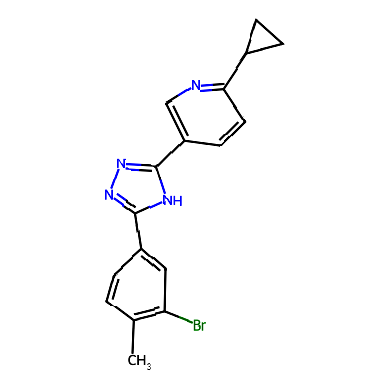 Cc1ccc(-c2nnc(-c3ccc(C4CC4)nc3)[nH]2)cc1Br